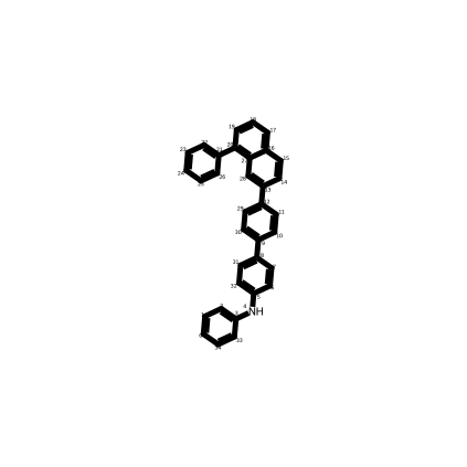 c1ccc(Nc2ccc(-c3ccc(-c4ccc5cccc(-c6ccccc6)c5c4)cc3)cc2)cc1